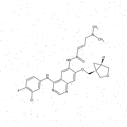 CN(C)CC=CC(=O)Nc1cc2c(Nc3ccc(F)c(Cl)c3)ncnc2cc1OC[C@]12COC[C@H]1C2